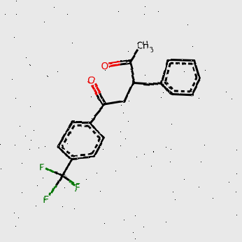 CC(=O)C(CC(=O)c1ccc(C(F)(F)F)cc1)c1ccccc1